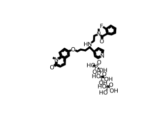 CN(CCNC(CCCOc1ccc2c(ccc(=O)n2C)c1)c1ccncc1)C(=O)c1ccccc1F.O=P(O)(O)O.O=P(O)(O)O.O=P(O)(O)O